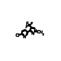 Cn1cc(C(F)(F)F)c(-c2ccc(Cl)nc2)n1